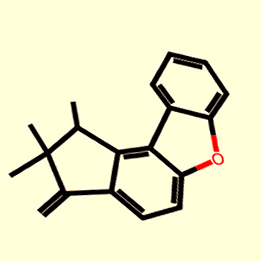 C=C1c2ccc3oc4ccccc4c3c2C(C)C1(C)C